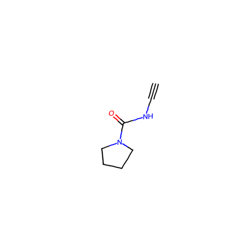 C#CNC(=O)N1CCCC1